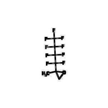 CC1(C(F)(F)C(F)(F)C(F)(F)C(F)(F)F)CO1